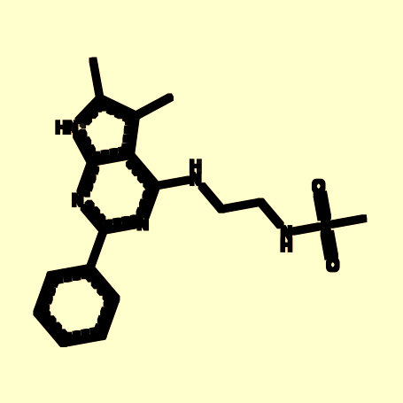 Cc1[nH]c2nc(-c3ccccc3)nc(NCCNS(C)(=O)=O)c2c1C